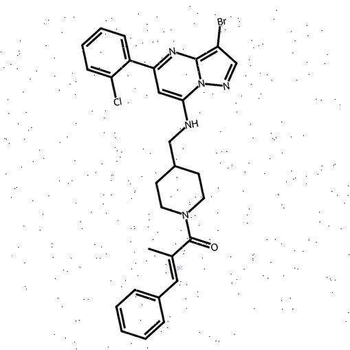 C/C(=C\c1ccccc1)C(=O)N1CCC(CNc2cc(-c3ccccc3Cl)nc3c(Br)cnn23)CC1